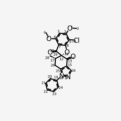 COc1cc(OC)c2c(c1Cl)O[C@@]1(C(=O)c3cnn(-c4ccccc4)c3C[C@H]1C)C2=O